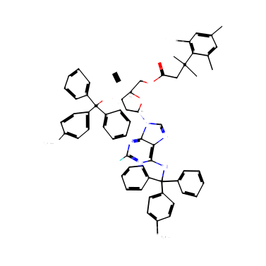 C#C[C@]1(COC(=O)CC(C)(C)c2c(C)cc(C)cc2OC(C)=O)O[C@@H](n2cnc3c(NC(c4ccccc4)(c4ccccc4)c4ccc(OC)cc4)nc(F)nc32)C[C@@H]1OC(c1ccccc1)(c1ccccc1)c1ccc(OC)cc1